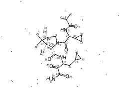 CC(C)C(=O)NC(C(=O)N1C[C@H]2[C@@H]([C@H]1C(=O)NC(CC1CC1)C(=O)C(N)=O)C2(C)C)C1CC1